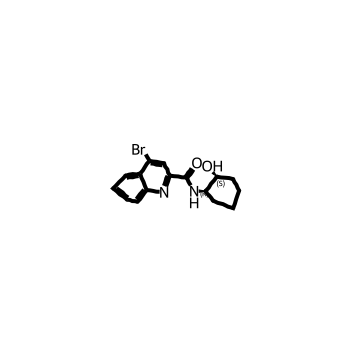 O=C(N[C@@H]1CCCC[C@@H]1O)c1cc(Br)c2ccccc2n1